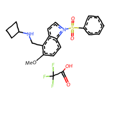 COc1ccc2c(ccn2S(=O)(=O)c2ccccc2)c1CNC1CCC1.O=C(O)C(F)(F)F